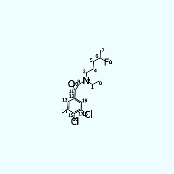 CCN(CCCC(C)F)C1OC1c1ccc(Cl)c(Cl)c1